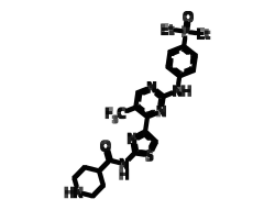 CCP(=O)(CC)c1ccc(Nc2ncc(C(F)(F)F)c(-c3csc(NC(=O)C4CCNCC4)n3)n2)cc1